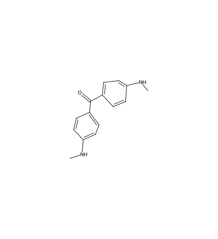 CNc1ccc(C(=O)c2ccc(NC)cc2)cc1